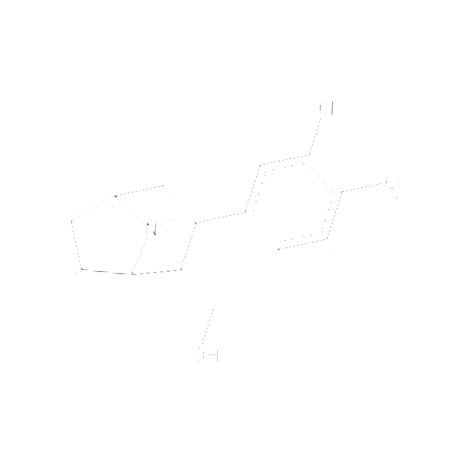 CN1C2CCC1C(CO)C(c1ccc(Cl)c(Cl)c1)C2